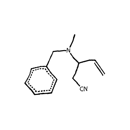 C=CC(CC#N)N(C)Cc1ccccc1